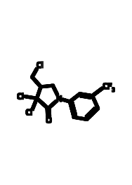 O=C1N(c2cccc(C(F)(F)F)c2)CC(CCl)C1(Cl)Cl